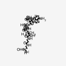 CC(=O)[SH](C=O)CCNC(=O)CCNC(=O)C(O)C(C)(C)COP(=O)(O)OP(=O)(O)OC[C@H]1O[C@@H](n2cnc3c(N)ncnc32)[C@H](O)[C@@H]1OP(=O)(O)O